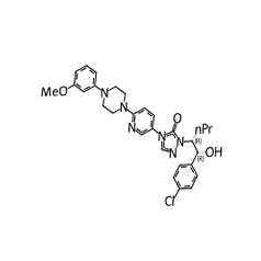 CCC[C@H]([C@H](O)c1ccc(Cl)cc1)n1ncn(-c2ccc(N3CCN(c4cccc(OC)c4)CC3)nc2)c1=O